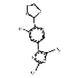 Cc1cc(C)n(-c2cnc(C3OCCO3)c(Cl)n2)n1